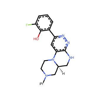 CC(C)N1CCN2c3cc(-c4cccc(F)c4O)nnc3NC[C@H]2C1